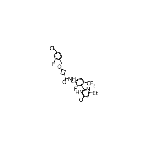 CCc1cc(=O)[nH]c(-c2c(C(F)(F)F)ccc(CNC(=O)[C@H]3C[C@H](OCc4ccc(Cl)cc4F)C3)c2F)n1